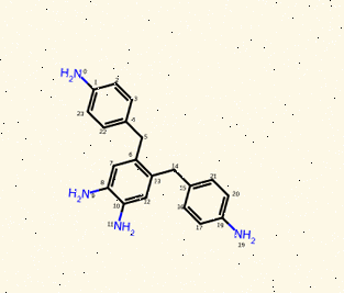 Nc1ccc(Cc2cc(N)c(N)cc2Cc2ccc(N)cc2)cc1